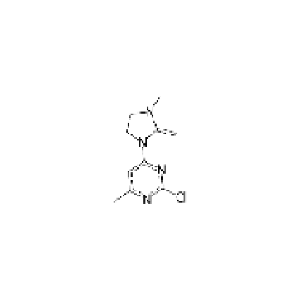 C=C1N(C)CCN1c1cc(C)nc(Cl)n1